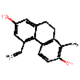 C=Cc1cc(O)cc2c1-c1ccc(O)c(C)c1CC2